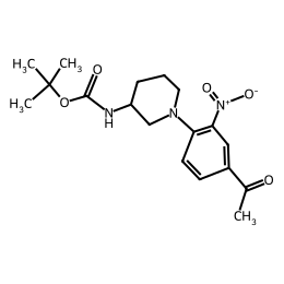 CC(=O)c1ccc(N2CCCC(NC(=O)OC(C)(C)C)C2)c([N+](=O)[O-])c1